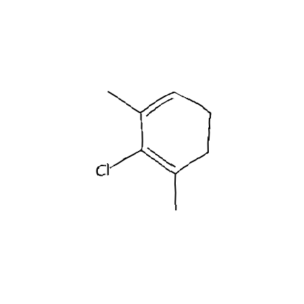 CC1=CCCC(C)=C1Cl